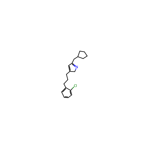 Clc1ccccc1CCCC1=CC(CC2CCCC2)=NC1